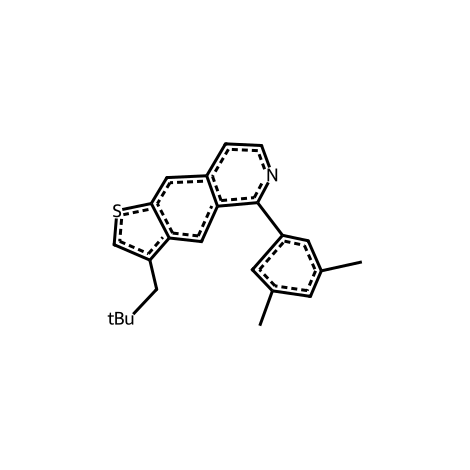 Cc1cc(C)cc(-c2nccc3cc4scc(CC(C)(C)C)c4cc23)c1